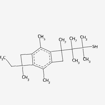 CCC1(C)Cc2c(C)c3c(c(C)c21)CC3(C)C(C)(C)C(C)(C)S